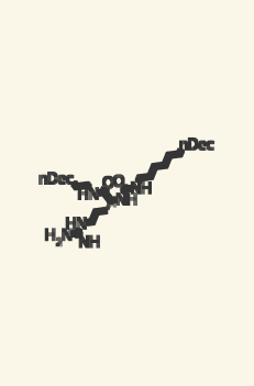 CCCCCCCCCCCCCCCCNC(=O)N[C@H](CCCNC(=N)N)C(=O)NCCCCCCCCCCCC